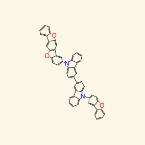 c1ccc2c(c1)oc1ccc(-n3c4ccccc4c4cc(-c5ccc6c(c5)c5ccccc5n6-c5ccc6oc7cc8c(cc7c6c5)oc5ccccc58)ccc43)cc12